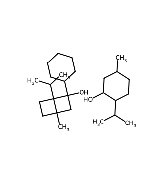 CC(C)C12CCC1(C)CC2(O)C1CCCCC1.CC1CCC(C(C)C)C(O)C1